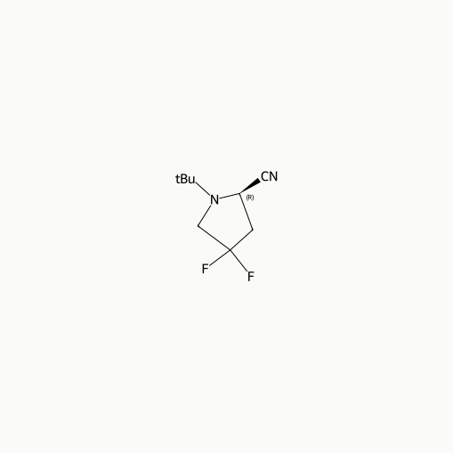 CC(C)(C)N1CC(F)(F)C[C@@H]1C#N